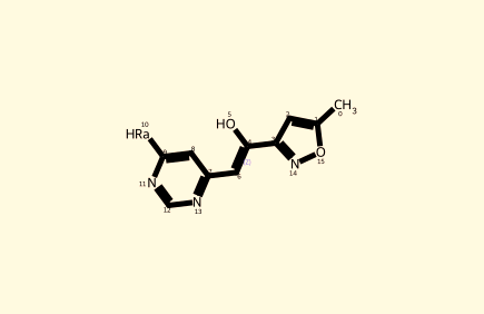 Cc1cc(/C(O)=C/c2c[c]([RaH])ncn2)no1